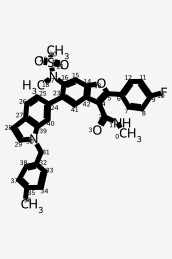 CNC(=O)c1c(-c2ccc(F)cc2)oc2cc(N(C)S(C)(=O)=O)c(-c3ccc4ccn(Cc5ccc(C)cc5)c4c3)cc12